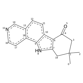 CC1(C)CC(=O)c2c([nH]c3c2ccc2cnccc23)C1